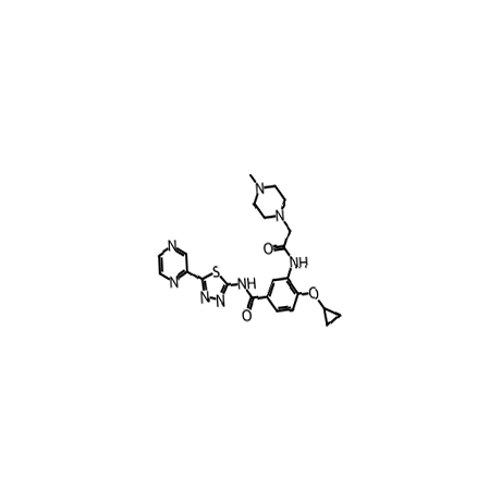 CN1CCN(CC(=O)Nc2cc(C(=O)Nc3nnc(-c4cnccn4)s3)ccc2OC2CC2)CC1